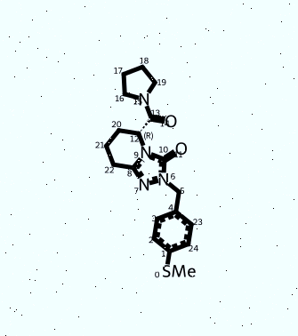 CSc1ccc(Cn2nc3n(c2=O)[C@@H](C(=O)N2CCCC2)CCC3)cc1